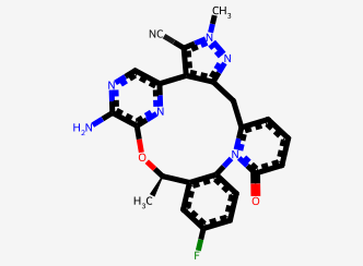 C[C@H]1Oc2nc(cnc2N)-c2c(nn(C)c2C#N)Cc2cccc(=O)n2-c2ccc(F)cc21